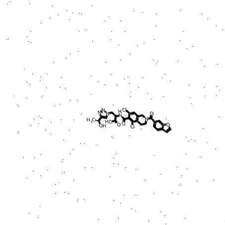 C[C@H](O)c1cn(CC(NC(=O)c2c(Cl)cc3c(c2Cl)CCN(C(=O)c2ccc4ccoc4c2)C3)C(=O)O)nn1